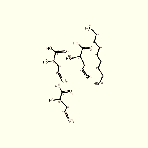 C=CCC(S)C(=O)O.C=CCC(S)C(=O)O.C=CCC(S)C(=O)O.CCCCCCC[CH2][SnH]